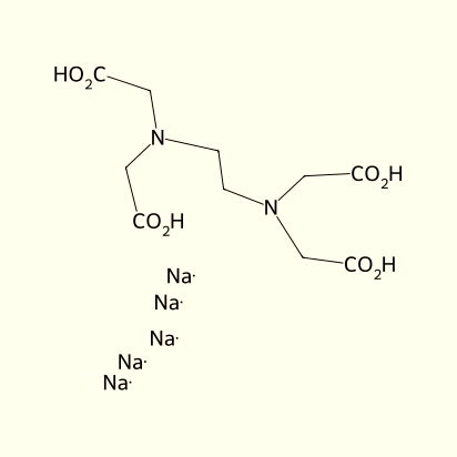 O=C(O)CN(CCN(CC(=O)O)CC(=O)O)CC(=O)O.[Na].[Na].[Na].[Na].[Na]